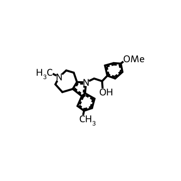 COc1ccc(C(O)Cn2c3c(c4cc(C)ccc42)CCN(C)CC3)cc1